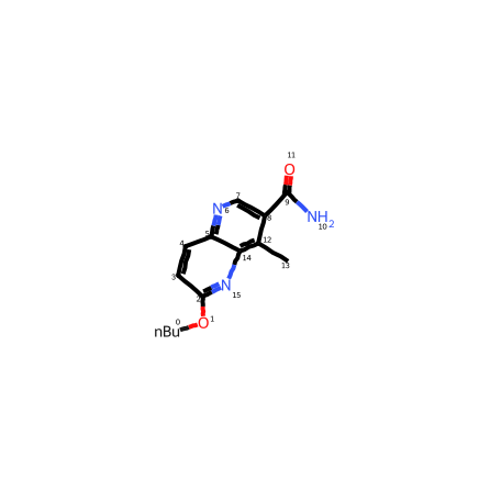 CCCCOc1ccc2ncc(C(N)=O)c(C)c2n1